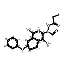 CCC(=O)ON(C=O)c1nc(Br)c2cc(Oc3ccccc3)ccc2c1O